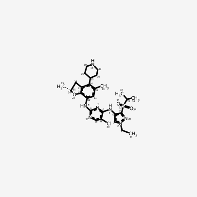 CCn1cc(Nc2nc(Nc3cc(C)c(C4CCNCC4)c4c3O[C@H](C)C4)ncc2Cl)c(S(=O)(=O)C(C)C)n1